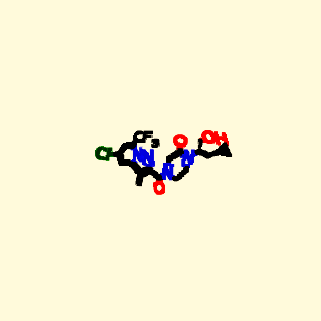 Cc1c(C(=O)N2CCN([C@H](CO)CC3CC3)C(=O)C2)nn2c(C(F)(F)F)cc(Cl)cc12